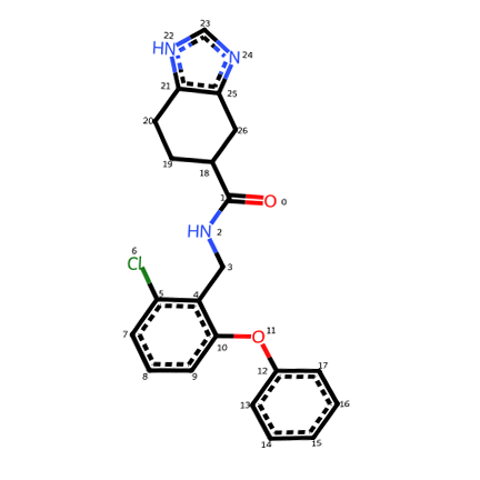 O=C(NCc1c(Cl)cccc1Oc1ccccc1)C1CCc2[nH]cnc2C1